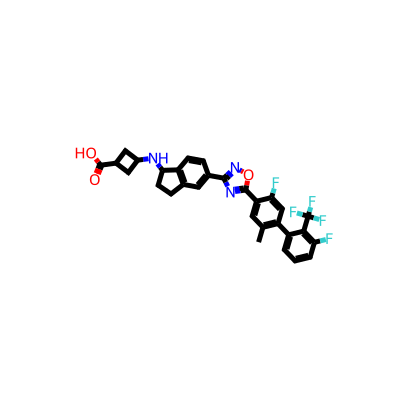 Cc1cc(-c2nc(-c3ccc4c(c3)CCC4NC3CC(C(=O)O)C3)no2)c(F)cc1-c1cccc(F)c1C(F)(F)F